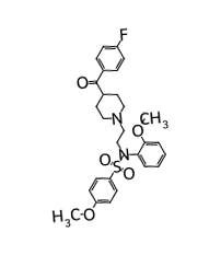 COc1ccc(S(=O)(=O)N(CCN2CCC(C(=O)c3ccc(F)cc3)CC2)c2ccccc2OC)cc1